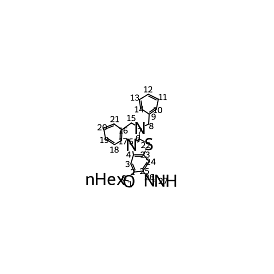 CCCCCCOc1cc2nc(N(Cc3ccccc3)Cc3ccccc3)sc2cc1N=N